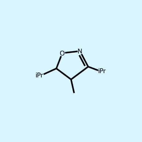 CC(C)C1=NOC(C(C)C)C1C